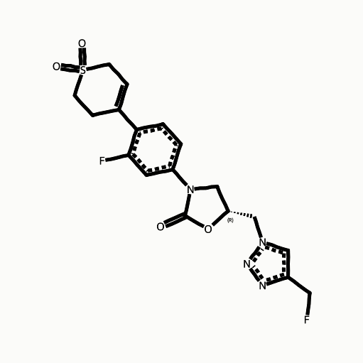 O=C1O[C@@H](Cn2cc(CF)nn2)CN1c1ccc(C2=CCS(=O)(=O)CC2)c(F)c1